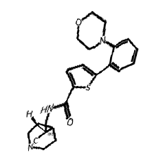 O=C(N[C@H]1CN2CCC1CC2)c1ccc(-c2ccccc2N2CCOCC2)s1